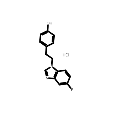 Cl.Oc1ccc(CCn2cnc3cc(F)ccc32)cc1